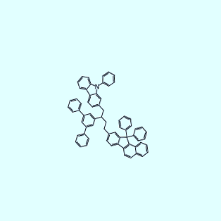 c1ccc(-c2cc(-c3ccccc3)cc(C(CCc3ccc4c(c3)C(c3ccccc3)(c3ccccc3)c3c-4ccc4ccccc34)Cc3ccc4c5ccccc5n(-c5ccccc5)c4c3)c2)cc1